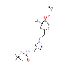 CC(C)(C)OC(=O)NC[C@@H]1CCN(CCc2ccc(OCC3CC3)c(Cl)c2)C1